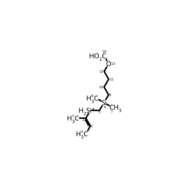 CC=C(C)[SiH2]C[Si](C)(C)CCCCOC(=O)O